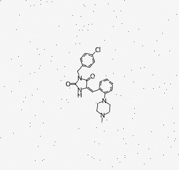 CN1CCN(c2ccccc2C=C2NC(=O)N(Cc3ccc(Cl)cc3)C2=O)CC1